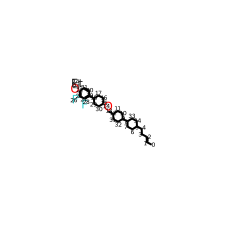 C/C=C/CCC1CCC(C2CCC(COC3CCC(c4ccc(OCC)c(F)c4F)CC3)CC2)CC1